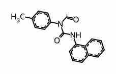 Cc1ccc(N([C]=O)C(=O)Nc2cccc3ccccc23)cc1